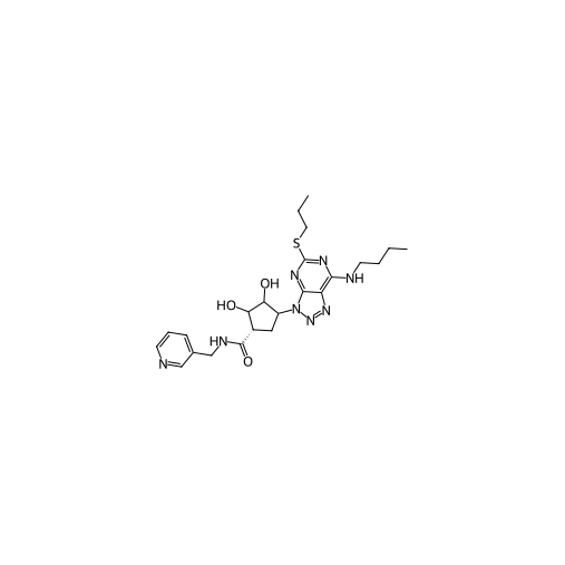 CCCCNc1nc(SCCC)nc2c1nnn2C1C[C@H](C(=O)NCc2cccnc2)C(O)C1O